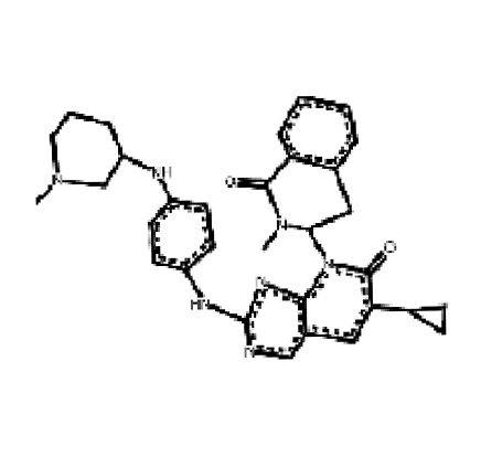 CN1CCCC(Nc2ccc(Nc3ncc4cc(C5CC5)c(=O)n(C5Cc6ccccc6C(=O)N5C)c4n3)cc2)C1